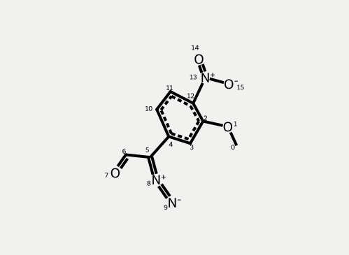 COc1cc(C(C=O)=[N+]=[N-])ccc1[N+](=O)[O-]